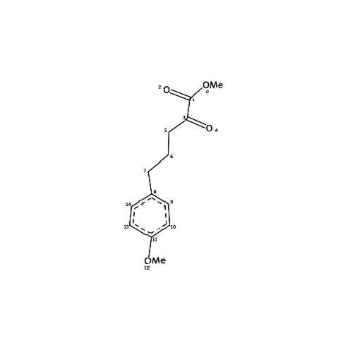 COC(=O)C(=O)CCCc1ccc(OC)cc1